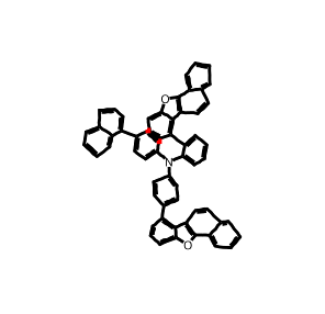 c1ccc(N(c2ccc(-c3cccc4ccccc34)cc2)c2ccc(-c3cccc4oc5c6ccccc6ccc5c34)cc2)c(-c2cccc3oc4c5ccccc5ccc4c23)c1